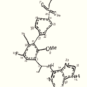 COc1c(C(C)Nc2ncnc3[nH]cnc23)cc(F)c(C)c1-c1ccc(S(C)(=O)=O)cc1